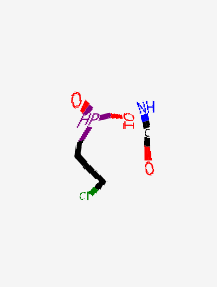 N=C=O.O=[PH](O)CCCl